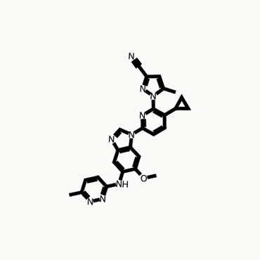 COc1cc2c(cc1Nc1ccc(C)nn1)ncn2-c1ccc(C2CC2)c(-n2nc(C#N)cc2C)n1